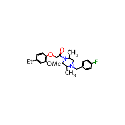 CCc1ccc(OCC(=O)N2CC(C)N(Cc3ccc(F)cc3)CC2C)c(OC)c1